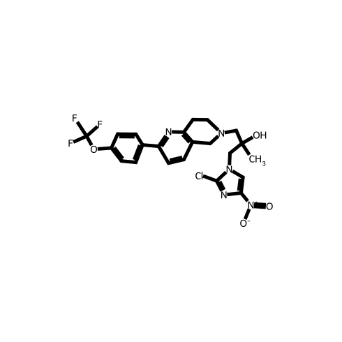 CC(O)(CN1CCc2nc(-c3ccc(OC(F)(F)F)cc3)ccc2C1)Cn1cc([N+](=O)[O-])nc1Cl